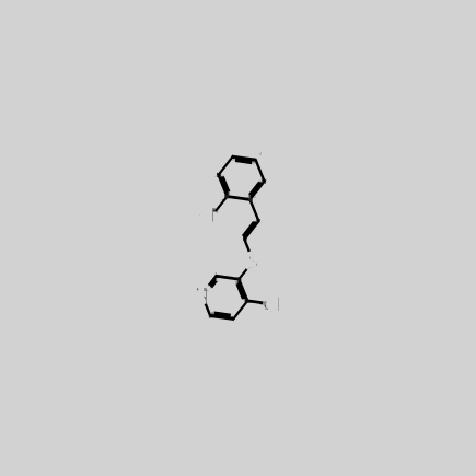 Clc1ccccc1/C=C/Sc1cnccc1Cl